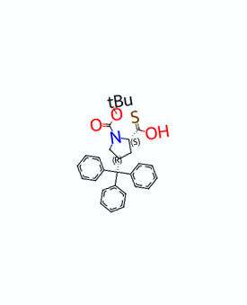 CC(C)(C)OC(=O)N1C[C@@H](C(c2ccccc2)(c2ccccc2)c2ccccc2)C[C@H]1C(O)=S